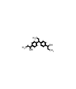 CCC(O)c1ccc(C(CC)c2ccc(C(O)CC)cc2)cc1